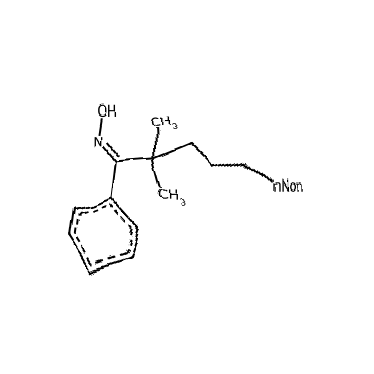 CCCCCCCCCCCCC(C)(C)C(=NO)c1ccccc1